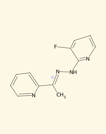 C/C(=N\Nc1ncccc1F)c1ccccn1